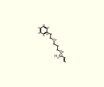 C=C[SiH2]OCCCOCCc1ccccc1